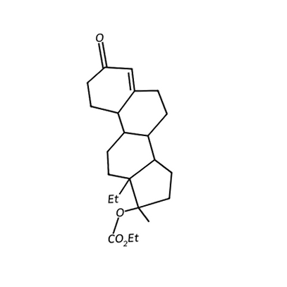 CCOC(=O)OC1(C)CCC2C3CCC4=CC(=O)CCC4C3CCC21CC